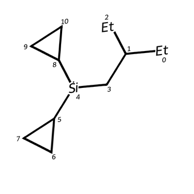 CCC(CC)C[Si](C1CC1)C1CC1